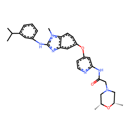 CC(C)c1cccc(Nc2nc3cc(Oc4ccnc(NC(=O)CN5C[C@@H](C)O[C@@H](C)C5)c4)ccc3n2C)c1